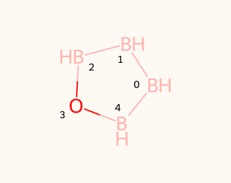 B1BBOB1